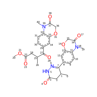 CC1CC(=O)NN=C1c1ccc2c(c1)OCC(=O)N2C.COC(=O)CC(C)C(=O)c1ccc2c(c1)OCC(=O)N2C